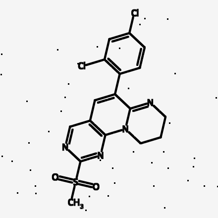 CS(=O)(=O)c1ncc2c(n1)N1CCCN=C1C(c1ccc(Cl)cc1Cl)=C2